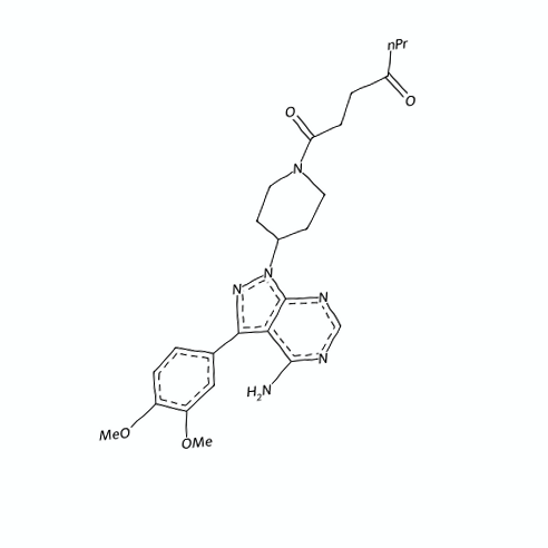 CCCC(=O)CCC(=O)N1CCC(n2nc(-c3ccc(OC)c(OC)c3)c3c(N)ncnc32)CC1